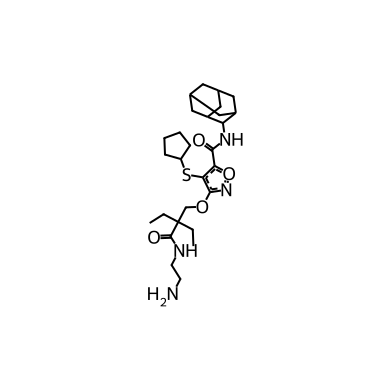 CCC(CC)(COc1noc(C(=O)NC2C3CC4CC(C3)CC2C4)c1SC1CCCC1)C(=O)NCCN